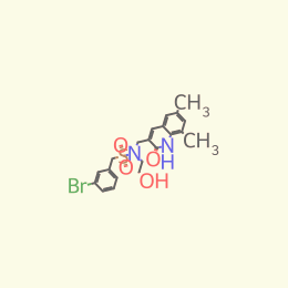 Cc1cc(C)c2[nH]c(=O)c(CN(CCO)S(=O)(=O)Cc3cccc(Br)c3)cc2c1